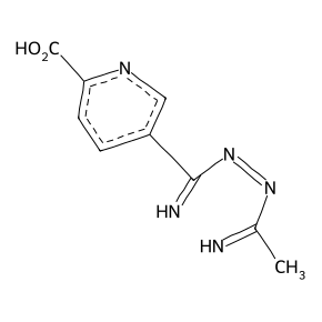 CC(=N)/N=N\C(=N)c1ccc(C(=O)O)nc1